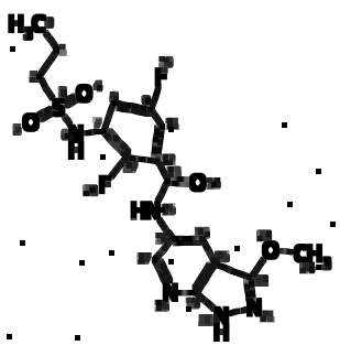 CCCS(=O)(=O)Nc1cc(F)cc(C(=O)Nc2cnc3[nH]nc(OC)c3c2)c1F